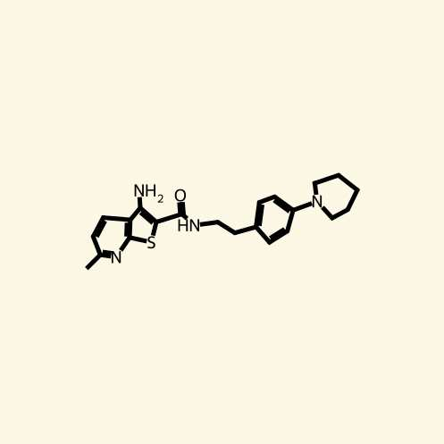 Cc1ccc2c(N)c(C(=O)NCCc3ccc(N4CCCCC4)cc3)sc2n1